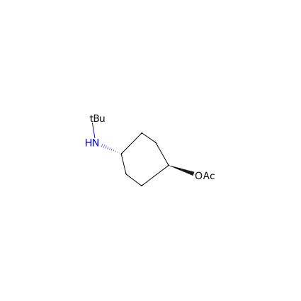 CC(=O)O[C@H]1CC[C@H](NC(C)(C)C)CC1